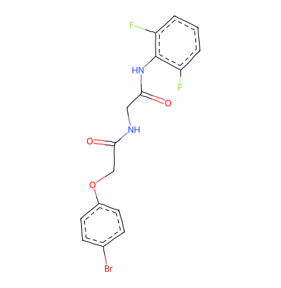 O=C(COc1ccc(Br)cc1)NCC(=O)Nc1c(F)cccc1F